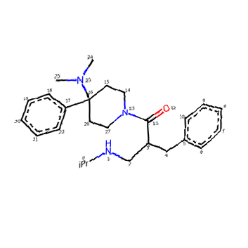 CC(C)NCC(Cc1ccccc1)C(=O)N1CCC(c2ccccc2)(N(C)C)CC1